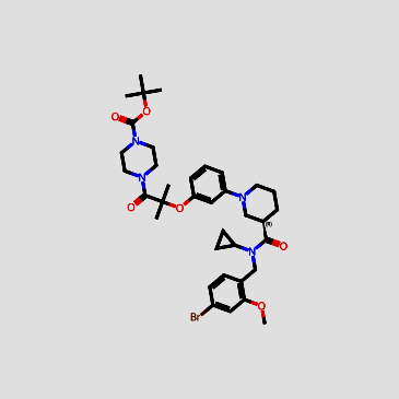 COc1cc(Br)ccc1CN(C(=O)[C@@H]1CCCN(c2cccc(OC(C)(C)C(=O)N3CCN(C(=O)OC(C)(C)C)CC3)c2)C1)C1CC1